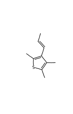 CC=Cc1c(C)sc(C)c1C